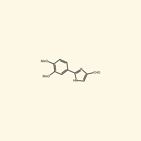 COc1ccc(-c2nc(C=O)c[nH]2)cc1OC